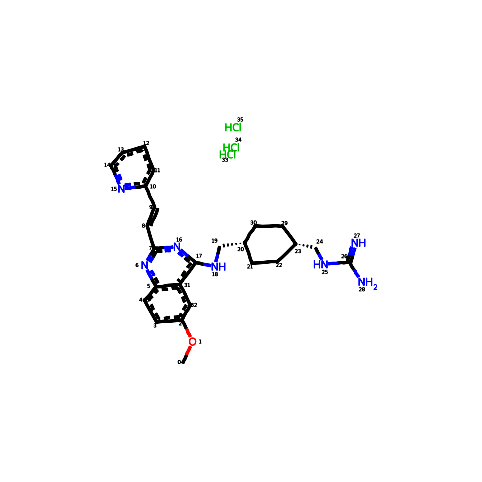 COc1ccc2nc(C=Cc3ccccn3)nc(NC[C@H]3CC[C@@H](CNC(=N)N)CC3)c2c1.Cl.Cl.Cl